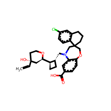 C=C[C@@]1(O)CCO[C@@H]([C@@H]2CC[C@H]2CN2CC3(CCCc4cc(Cl)ccc43)COc3ccc(C(=O)O)cc32)C1